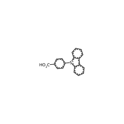 O=C(O)c1ccc(-[s+]2c3ccccc3c3ccccc32)cc1